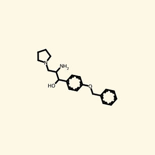 NC(CN1CCCC1)C(O)c1ccc(OCc2ccccc2)cc1